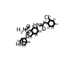 NS(=O)(=O)c1cc(NC(=O)Cc2ccccc2Cl)ccc1COC1C2CNCC1C2